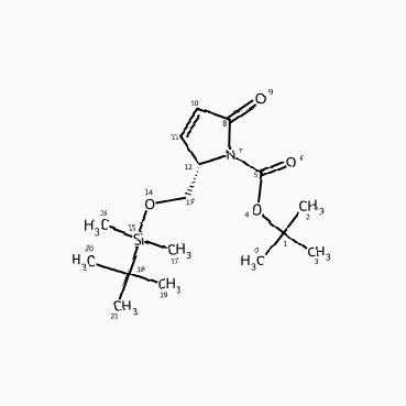 CC(C)(C)OC(=O)N1C(=O)C=C[C@H]1CO[Si](C)(C)C(C)(C)C